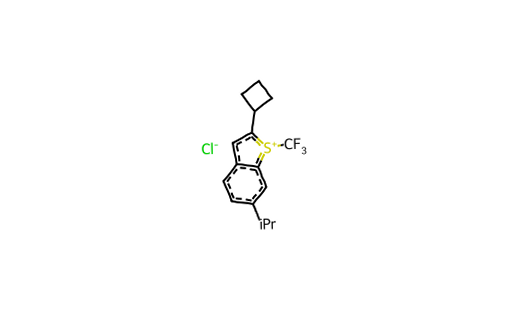 CC(C)c1ccc2cc(C3CCC3)[s+](C(F)(F)F)c2c1.[Cl-]